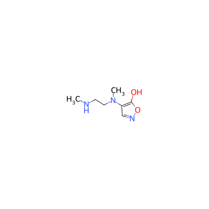 CNCCN(C)c1cnoc1O